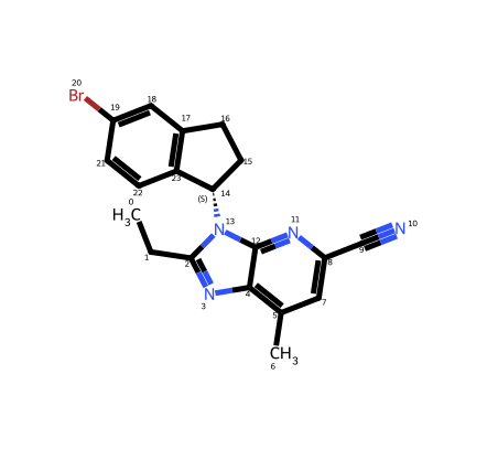 CCc1nc2c(C)cc(C#N)nc2n1[C@H]1CCc2cc(Br)ccc21